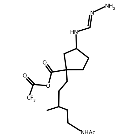 CC(=O)NCCC(C)CCC1(C(=O)OC(=O)C(F)(F)F)CCC(NC=NN)C1